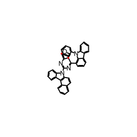 c1ccc(-n2c3ccccc3c3cccc(-c4nc(-n5c6ccccc6c6c7ccccc7ccc65)nc5cocc45)c32)cc1